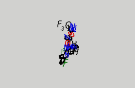 C#Cc1c(F)ccc2cccc(-c3nc4c5c(nc(OC[C@@]67CCCN6[C@H](COc6cnnc(C(F)(F)F)c6)CC7)nc5c3F)N3C[C@H]5CC[C@H](N5)[C@H]3CCC4)c12